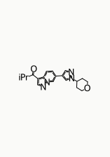 CC(C)C(=O)c1cnn2cc(-c3cnn(C4CCOCC4)c3)ccc12